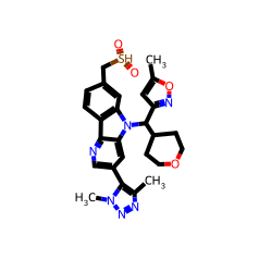 Cc1cc(C(C2CCOCC2)n2c3cc(C[SH](=O)=O)ccc3c3ncc(-c4c(C)nnn4C)cc32)no1